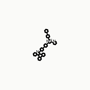 c1ccc(-c2ccc(-c3nc(-c4ccc(-c5ccc(-c6nc7ccccc7c7c8ccccc8c8ccccc8c67)cc5)cc4)cc(-c4ccccn4)n3)cc2)cc1